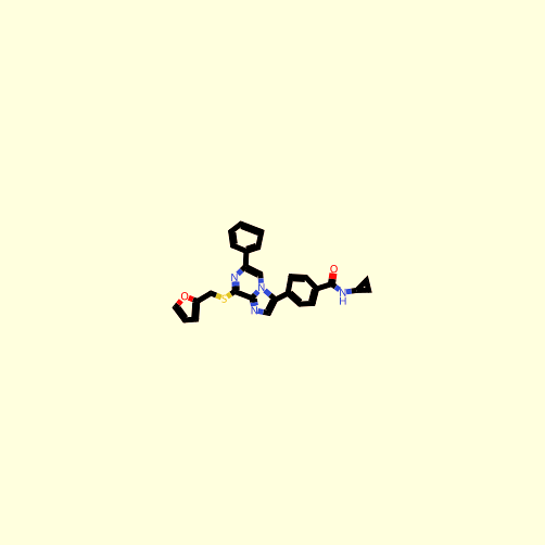 O=C(NC1CC1)c1ccc(-c2cnc3c(SCc4ccco4)nc(-c4ccccc4)cn23)cc1